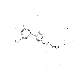 Cc1cc(-c2ncn(/C=C/C(=O)O)n2)cc(C(F)(F)F)c1